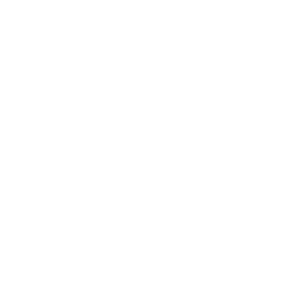 CC(CCCC=O)CP(=O)(O)O